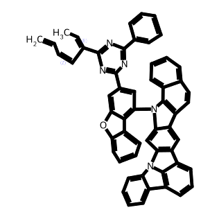 C=C/C=C\C(=C/C)c1nc(-c2ccccc2)nc(-c2cc(-n3c4cc5c(cc4c4ccc6ccccc6c43)c3cccc4c6ccccc6n5c43)c3c(c2)oc2ccccc23)n1